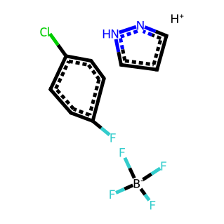 F[B-](F)(F)F.Fc1ccc(Cl)cc1.[H+].c1cn[nH]c1